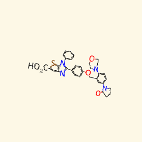 O=C(O)c1cc2nc(-c3ccc(OCc4cc(N5CCCC5=O)ccc4N4CCOCC4)cc3)n(-c3ccccc3)c2s1